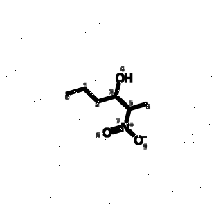 CCCC(O)C(C)[N+](=O)[O-]